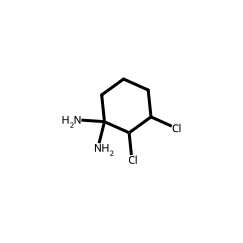 NC1(N)CCCC(Cl)C1Cl